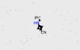 CC(C)CNC12CC(C#N)(C1)C2